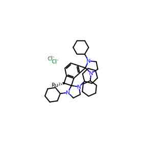 [Cl-].[Cl-].[Ru+2]=[C]1c2ccc3c(c2C12N(C1CCCCC1)CCN2C1CCCCC1)C31N(C2CCCCC2)CCN1C1CCCCC1